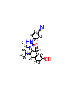 CCCN(C(=O)Nc1ccc(C#N)cc1)[C@H]1[C@H](N(C)CC)Cc2ccc(O)cc2C1(C)C